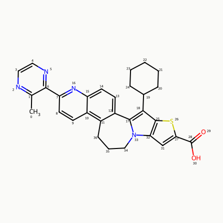 Cc1nccnc1-c1ccc2c3c(ccc2n1)-c1c(C2CCCCC2)c2sc(C(=O)O)cc2n1CCC3